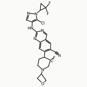 N#Cc1cc2cnc(Nc3cnn(C4CC4(F)F)c3Cl)nc2cc1C1CCN(C2COC2)C[C@@H]1F